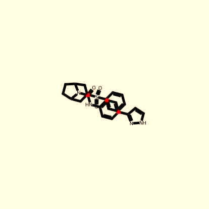 O=C(Nc1ccc(-c2cc[nH]n2)cc1)N1C2CCC1CC(S(=O)(=O)c1ccccc1)C2